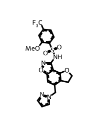 COc1cc(C(F)(F)F)ccc1S(=O)(=O)Nc1noc2cc(Cn3cccn3)c3c(c12)OCC3